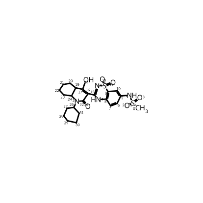 CS(=O)(=O)Nc1ccc2c(c1)S(=O)(=O)N=C(C1=C(O)C3CCCCC3N(C3CCCCC3)C1=O)N2